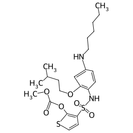 CCCCCCNc1ccc(NS(=O)(=O)c2ccsc2OC(=O)OC)c(OCCC(C)C)c1